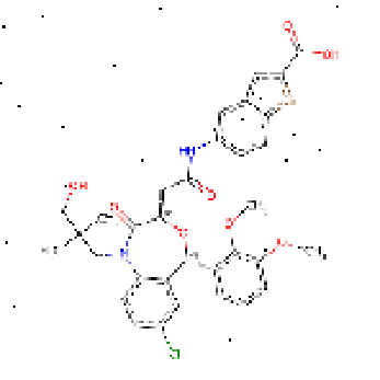 COc1cccc([C@H]2O[C@H](CC(=O)Nc3ccc4sc(C(=O)O)cc4c3)C(=O)N(CC(C)(C)CO)c3ccc(Cl)cc32)c1OC